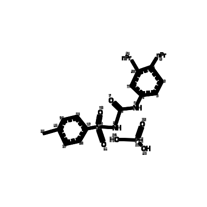 CCCc1ccc(NC(=O)NS(=O)(=O)c2ccc(C)cc2)cc1CCC.O=[PH](O)O